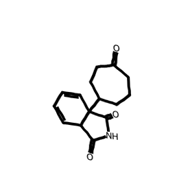 O=C1CCCC(C23C=CC=CC2C(=O)NC3=O)CC1